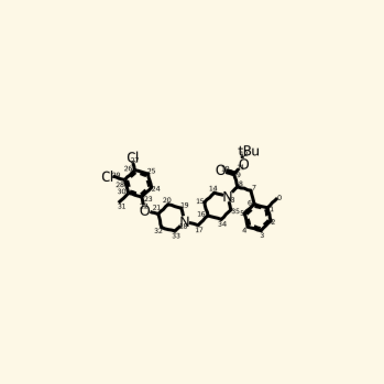 Cc1ccccc1CC(C(=O)OC(C)(C)C)N1CCC(CN2CCC(Oc3ccc(Cl)c(Cl)c3C)CC2)CC1